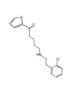 O=C(CCCCNCCc1ccccc1Cl)c1cccs1